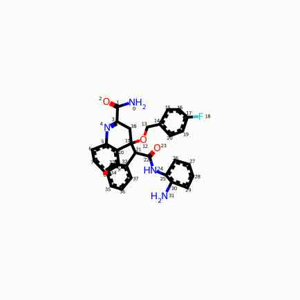 NC(=O)C1=Nc2ccccc2C(OCc2ccc(F)cc2)(C(C(=O)Nc2ccccc2N)c2ccccc2)C1